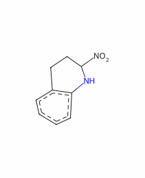 O=[N+]([O-])C1CCc2ccccc2N1